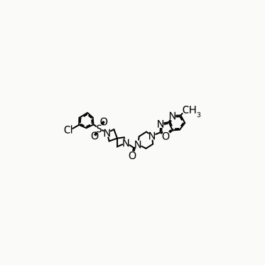 Cc1ccc2oc(N3CCN(C(=O)N4CC5(C4)CN(S(=O)(=O)c4cccc(Cl)c4)C5)CC3)nc2n1